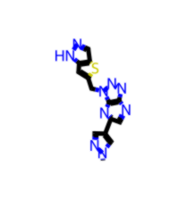 Cn1cc(-c2cnc3nnn(Cc4cc5[nH]ncc5s4)c3n2)cn1